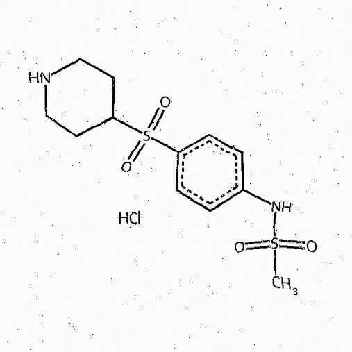 CS(=O)(=O)Nc1ccc(S(=O)(=O)C2CCNCC2)cc1.Cl